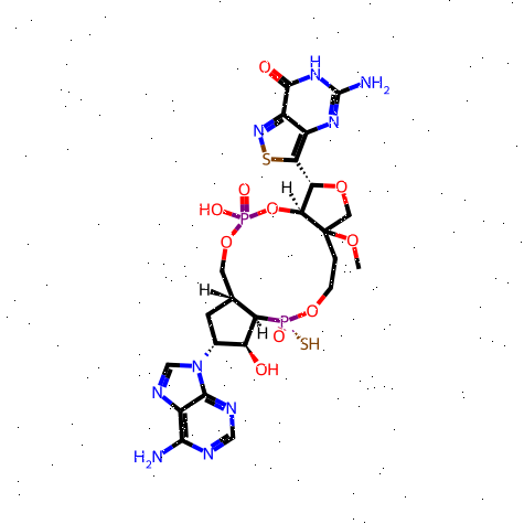 COC12CCO[P@](=O)(S)[C@@H]3[C@@H](COP(=O)(O)O[C@H]1[C@H](c1snc4c(=O)[nH]c(N)nc14)OC2)C[C@@H](n1cnc2c(N)ncnc21)[C@@H]3O